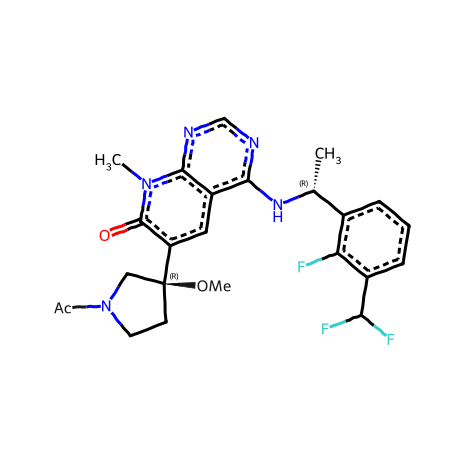 CO[C@@]1(c2cc3c(N[C@H](C)c4cccc(C(F)F)c4F)ncnc3n(C)c2=O)CCN(C(C)=O)C1